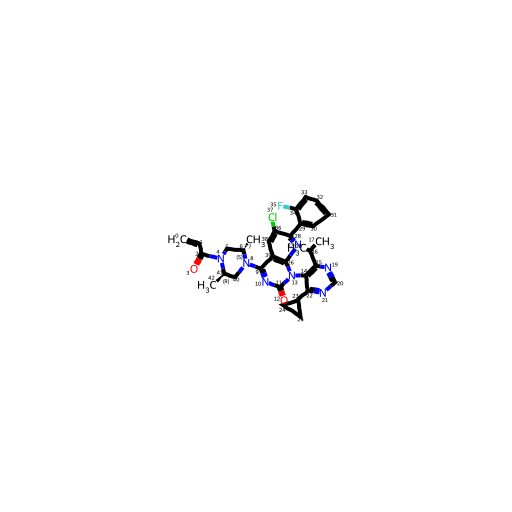 C=CC(=O)N1C[C@H](C)N(c2nc(=O)n(-c3c(C(C)C)ncnc3C3CC3)c3nc(-c4ccccc4F)c(Cl)cc23)C[C@H]1C